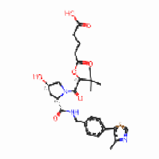 Cc1ncsc1-c1ccc(CNC(=O)[C@@H]2C[C@@H](O)CN2C(=O)[C@@H](OC(=O)CCCC(=O)O)C(C)(C)C)cc1